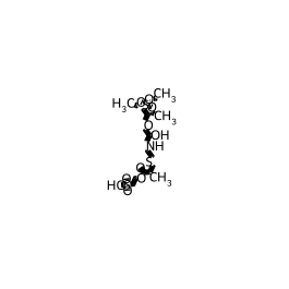 CCO[Si](CCCOCC(O)CNCCSCC(C)C(=O)OCCS(=O)(=O)O)(OCC)OCC